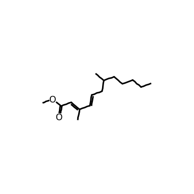 CCCCCC(C)CC=CC(C)=CC(=O)OC